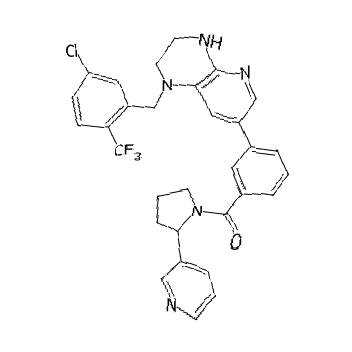 O=C(c1cccc(-c2cnc3c(c2)N(Cc2cc(Cl)ccc2C(F)(F)F)CCN3)c1)N1CCCC1c1cccnc1